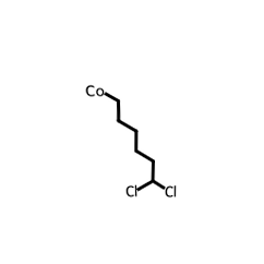 ClC(Cl)CCCC[CH2][Co]